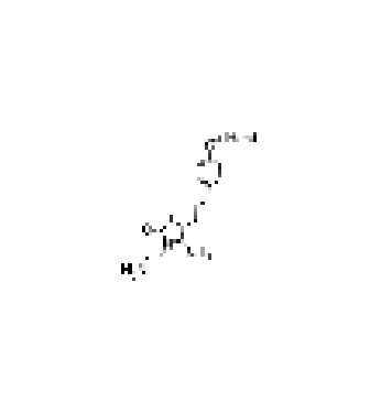 C=C1C(CCCc2ccc(OCCCCCCC)cc2)SC(=O)N1CCN